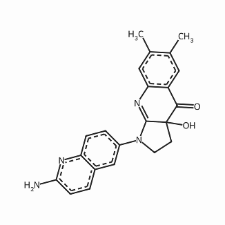 Cc1cc2c(cc1C)C(=O)C1(O)CCN(c3ccc4nc(N)ccc4c3)C1=N2